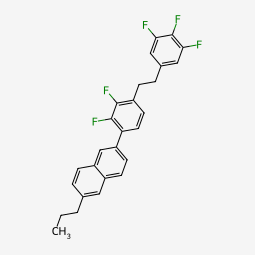 CCCc1ccc2cc(-c3ccc(CCc4cc(F)c(F)c(F)c4)c(F)c3F)ccc2c1